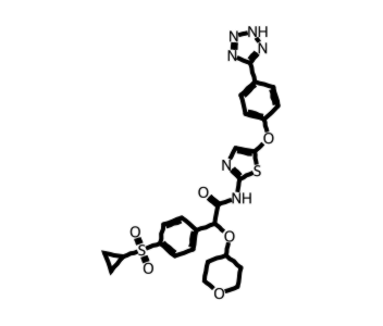 O=C(Nc1ncc(Oc2ccc(-c3nn[nH]n3)cc2)s1)C(OC1CCOCC1)c1ccc(S(=O)(=O)C2CC2)cc1